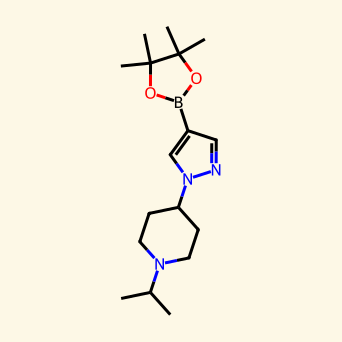 CC(C)N1CCC(n2cc(B3OC(C)(C)C(C)(C)O3)cn2)CC1